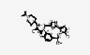 CC(C)N1CCC(NC(=O)c2nc3ccc(C(=O)O)cc3n2Cc2cnc(-c3ccc(Cl)s3)s2)CC1